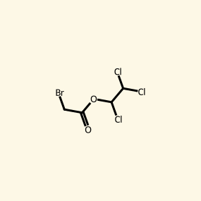 O=C(CBr)OC(Cl)C(Cl)Cl